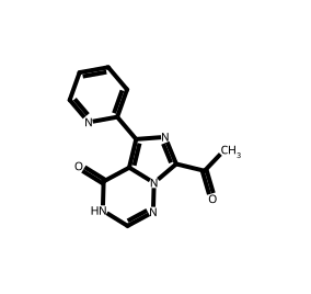 CC(=O)c1nc(-c2ccccn2)c2c(=O)[nH]cnn12